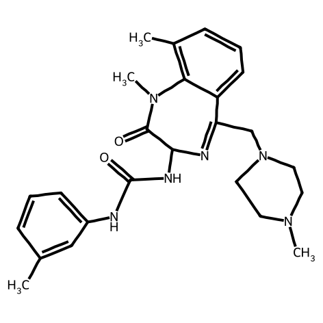 Cc1cccc(NC(=O)NC2N=C(CN3CCN(C)CC3)c3cccc(C)c3N(C)C2=O)c1